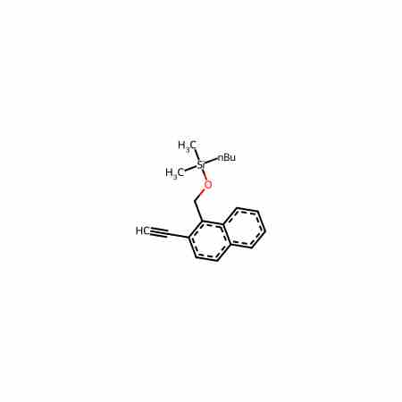 C#Cc1ccc2ccccc2c1CO[Si](C)(C)CCCC